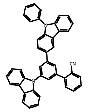 N#Cc1ccccc1-c1cc(-c2ccc3c(c2)c2ccccc2n3-c2ccccc2)cc(-n2c3ccccc3c3ccccc32)c1